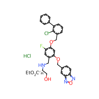 CCOC(=O)[C@@H](CO)NCc1cc(F)c(OCc2cccc(-c3ccccc3)c2Cl)cc1OCc1ccc2nonc2c1.Cl